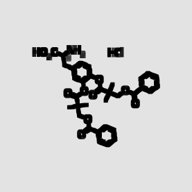 CC(C)(COC(=O)c1ccccc1)C(=O)Oc1ccc(C[C@H](N)C(=O)O)cc1OC(=O)C(C)(C)COC(=O)c1ccccc1.Cl